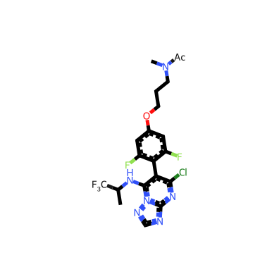 CC(=O)N(C)CCCOc1cc(F)c(-c2c(Cl)nc3ncnn3c2NC(C)C(F)(F)F)c(F)c1